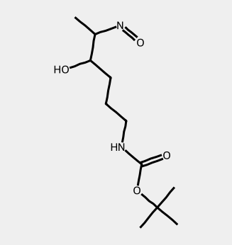 CC(N=O)C(O)CCCNC(=O)OC(C)(C)C